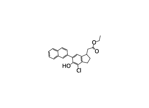 CCOC(=O)CC1CCc2c1cc(-c1ccc3ccccc3c1)c(O)c2Cl